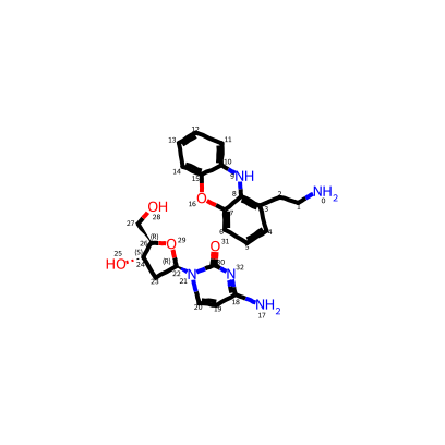 NCCc1cccc2c1Nc1ccccc1O2.Nc1ccn([C@H]2C[C@H](O)[C@@H](CO)O2)c(=O)n1